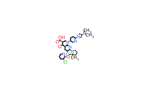 CN(C)C1CN(c2ccc(-n3cc(C(=O)O)c(=O)c4cc(Cl)c(N5CCC[C@]5(C)COc5ncccc5Cl)nc43)cn2)C1